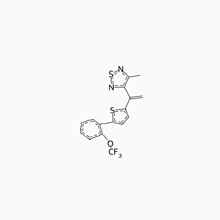 C=C(c1ccc(-c2ccccc2OC(F)(F)F)s1)c1nsnc1C